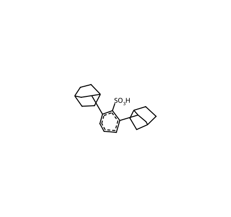 O=S(=O)(O)c1c(C2CC3CCC2CC3)cccc1C1CC2CCC1CC2